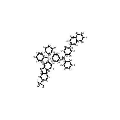 CC(C)(C)c1ccc2c(c1)sc1c3c(ccc12)C(c1ccccc1)(c1ccc(N(c2ccccc2)c2ccc(-c4ccc5ccccc5c4)cc2)cc1)c1ccccc1-3